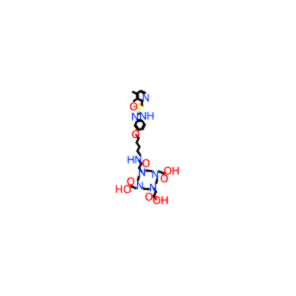 Cc1ccnc(C[S+]([O-])c2nc3cc(OCCCCCNC(=O)CN4CCN(CC(=O)O)CCN(CC(=O)O)CCN(CC(=O)O)CC4)ccc3[nH]2)c1C